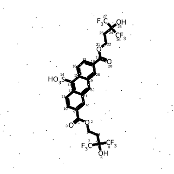 O=C(OCCC(O)(C(F)(F)F)C(F)(F)F)c1ccc2c(S(=O)(=O)O)c3ccc(C(=O)OCCC(O)(C(F)(F)F)C(F)(F)F)cc3cc2c1